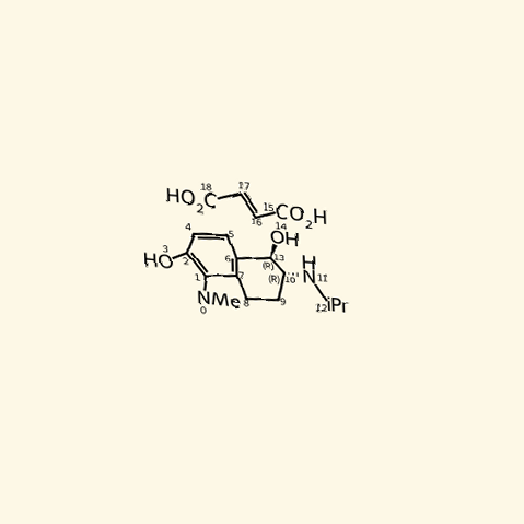 CNc1c(O)ccc2c1CC[C@@H](NC(C)C)[C@@H]2O.O=C(O)C=CC(=O)O